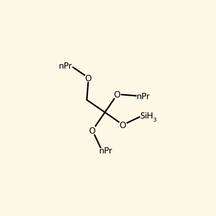 CCCOCC(O[SiH3])(OCCC)OCCC